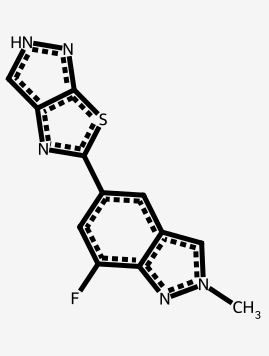 Cn1cc2cc(-c3nc4c[nH]nc4s3)cc(F)c2n1